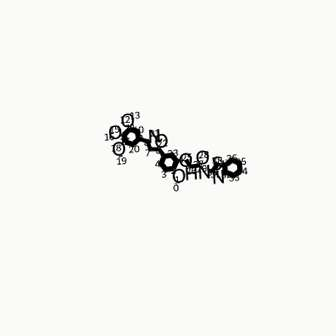 COc1ccc(C2CC(c3cc(OC)c(OC)c(OC)c3)=NO2)cc1OCC(=O)Nc1nc2ccccc2s1